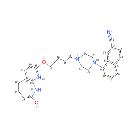 N#Cc1ccc2cccc(N3CCN(CCCCOc4ccc5c(n4)NC(=O)CCC5)CC3)c2c1